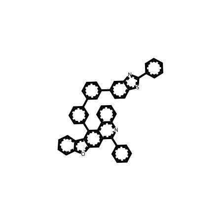 c1ccc(-c2nc3cc(-c4cccc(-c5cccc(-c6c7c(cc8c(-c9ccccc9)nc9ccccc9c68)oc6ccccc67)c5)c4)ccc3s2)cc1